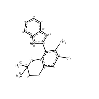 Cc1c(Cl)cc2c(c1-c1nc3ccccc3[nH]1)OC(C)(C)CC2